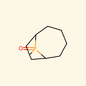 CP1(=O)C2CCCCC1CC2